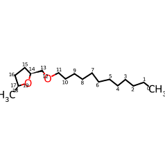 CCCCCCCCCCCCOC[C@@H]1CC[C@H](C)O1